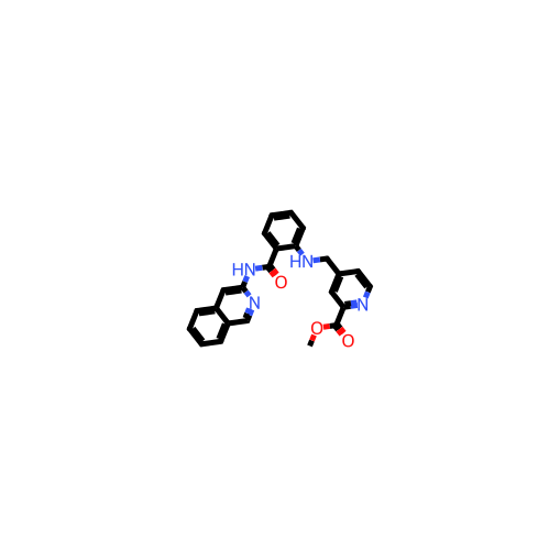 COC(=O)c1cc(CNc2ccccc2C(=O)Nc2cc3ccccc3cn2)ccn1